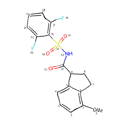 COc1cccc2c1CCC2C(=O)NS(=O)(=O)c1c(F)cccc1F